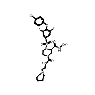 O=C(NO)[C@H]1CN(C(=O)NCCN2CCCC2)CCN1S(=O)(=O)c1cc(F)c(Oc2ccc(Cl)cc2)c(F)c1